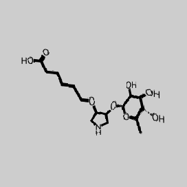 CC1O[C@@H](OC2CNCC2OCCCCCC(=O)O)C(O)C(O)[C@@H]1O